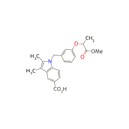 COC(=O)C(C)Oc1cccc(Cn2c(C)c(C)c3cc(C(=O)O)ccc32)c1